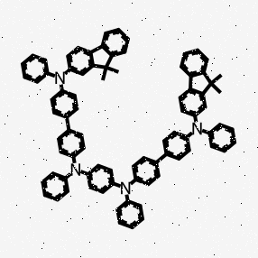 CC1(C)c2ccccc2-c2ccc(N(c3ccccc3)c3ccc(-c4ccc(N(c5ccccc5)c5ccc(N(c6ccccc6)c6ccc(-c7ccc(N(c8ccccc8)c8ccc9c(c8)C(C)(C)c8ccccc8-9)cc7)cc6)cc5)cc4)cc3)cc21